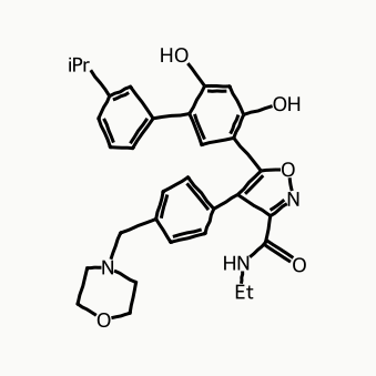 CCNC(=O)c1noc(-c2cc(-c3cccc(C(C)C)c3)c(O)cc2O)c1-c1ccc(CN2CCOCC2)cc1